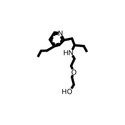 CCCc1ccnc(CC(CC)NCCOCCO)c1